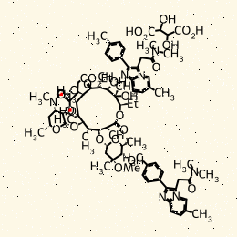 CCOC(=O)CCC(=O)O[C@H]1[C@H](O[C@@H]2[C@@H](C)[C@H](O[C@H]3C[C@@](C)(OC)[C@@H](O)[C@H](C)O3)[C@@H](C)C(=O)O[C@H](CC)[C@@](C)(O)[C@H](O)[C@@H](C)C(=O)[C@H](C)C[C@@]2(C)O)O[C@H](C)C[C@@H]1N(C)C.Cc1ccc(-c2nc3ccc(C)cn3c2CC(=O)N(C)C)cc1.Cc1ccc(-c2nc3ccc(C)cn3c2CC(=O)N(C)C)cc1.O=C(O)C(O)C(O)C(=O)O